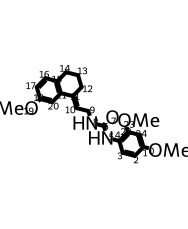 COc1ccc(NC(=O)NCC=C2CCCc3ccc(OC)cc32)c(OC)c1